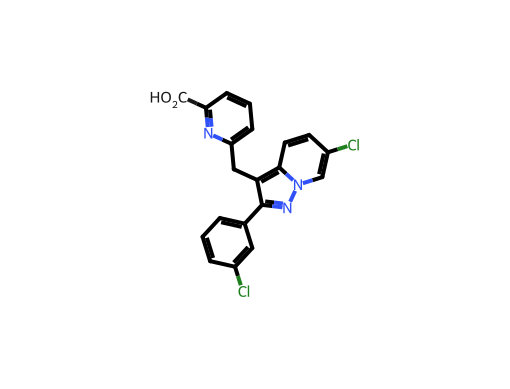 O=C(O)c1cccc(Cc2c(-c3cccc(Cl)c3)nn3cc(Cl)ccc23)n1